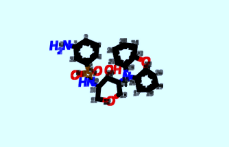 Nc1cccc(S(=O)(=O)N[C@@H]2COC[C@H](N3c4ccccc4Oc4ccccc43)[C@H]2O)c1